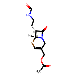 CC(=O)OCC1=CS[C@@H]2[C@H](CCNC=O)C(=O)N2C1